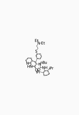 CCCCN(C(=O)Nc1c(C(C)C)cccc1C(C)C)c1c(-c2cccc(SCCN(CC)CC)c2)c2cccnc2[nH]c1=O